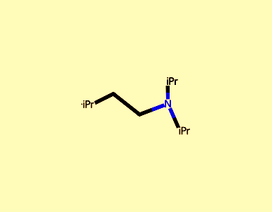 C[C](C)CCN(C(C)C)C(C)C